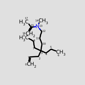 C=CCC(CCC)(CCC)CCCN(C)C(=C)C